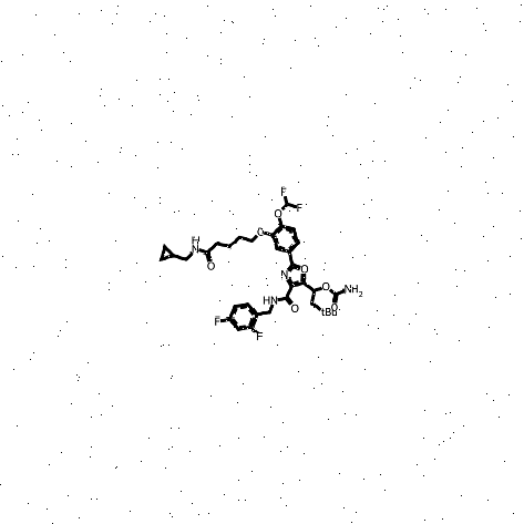 CC(C)(C)CC(OC(N)=O)c1oc(-c2ccc(OC(F)F)c(OCCCCC(=O)NCC3CC3)c2)nc1C(=O)NCc1ccc(F)cc1F